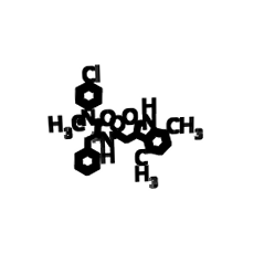 Cc1ccc(C)c2c1NC(=O)C2CC(=O)N[C@@H](Cc1ccccc1)C(=O)N(C)c1ccc(Cl)cc1